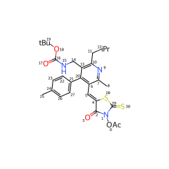 CC(=O)ON1C(=O)C(=Cc2c(C)nc(CC(C)C)c(CNC(=O)OC(C)(C)C)c2-c2ccc(C)cc2)SC1=S